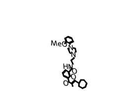 COc1ccccc1N1CCN(CCCNC(=O)c2cccc3c(=O)c(C)c(C4CCCCCC4)oc23)CC1